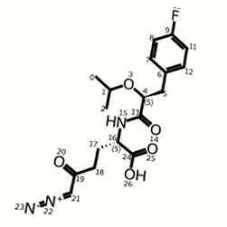 CC(C)O[C@@H](Cc1ccc(F)cc1)C(=O)N[C@@H](CCC(=O)C=[N+]=[N-])C(=O)O